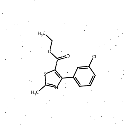 CCOC(=O)c1sc(C)nc1-c1cccc(Cl)c1